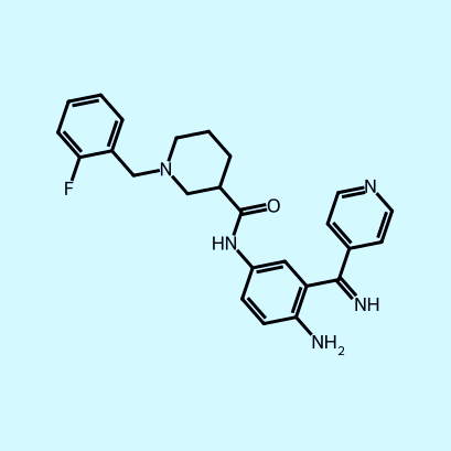 N=C(c1ccncc1)c1cc(NC(=O)C2CCCN(Cc3ccccc3F)C2)ccc1N